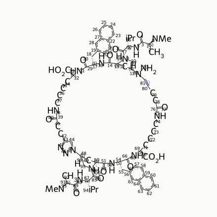 CN[C@@H](C)C(=O)N[C@H](C(=O)N1C[C@@H]2C[C@H]1C(=O)N[C@@H](Cc1ccc3ccccc3c1)C(=O)N[C@H](C(=O)O)CCCCNC(=O)CCc1cn(nn1)[C@H]1C[C@@H](C(=O)N[C@@H](Cc3ccc4ccccc4c3)C(=O)N[C@H](C(=O)O)CCCCNC(=O)CC/C=C/N2N)N(C(=O)[C@@H](NC(=O)[C@H](C)NC)C(C)C)C1)C(C)C